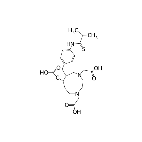 CC(C)C(=S)Nc1ccc(CC2CN(CC(=O)O)CCN(CC(=O)O)CCC2CC(=O)O)cc1